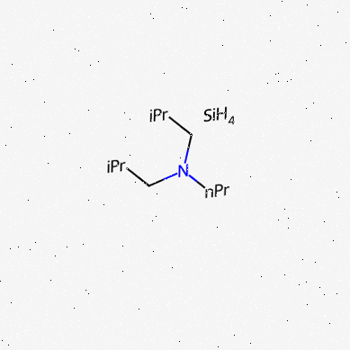 CCCN(CC(C)C)CC(C)C.[SiH4]